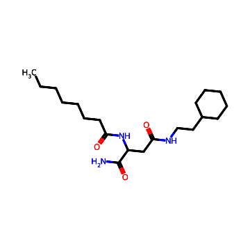 CCCCCCCC(=O)NC(CC(=O)NCCC1CCCCC1)C(N)=O